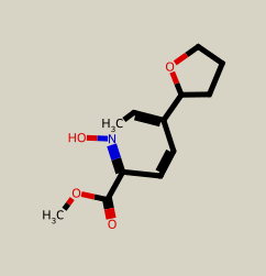 C\C=C(/C=C\C(=N\O)C(=O)OC)C1CCCO1